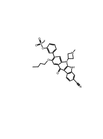 CCCCOc1cc2c(=O)c3c4ccc(C#N)cc4[nH]c3n(C3CN(C)C3)c2cc1-c1cccc(OS(=O)(=O)F)c1